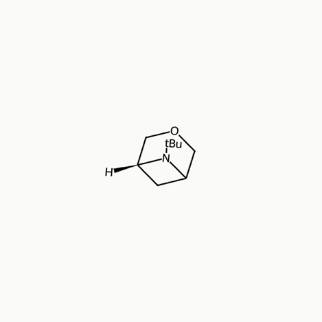 CC(C)(C)N1C2COC[C@H]1C2